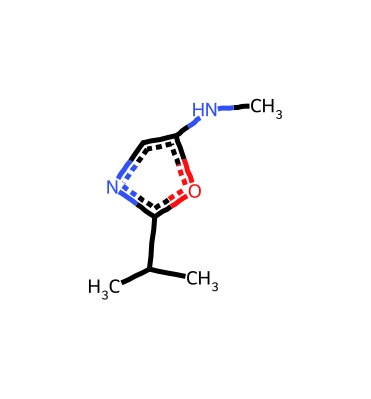 CNc1cnc(C(C)C)o1